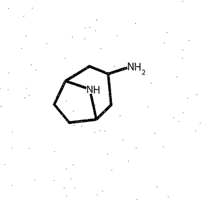 NC1CC2CCC(C1)N2